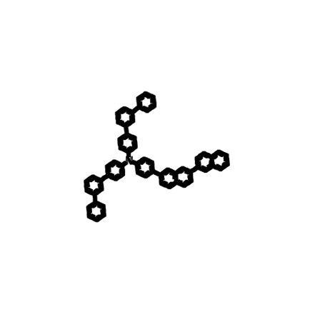 c1ccc(-c2cccc(-c3ccc(N(c4ccc(-c5cccc(-c6ccccc6)c5)cc4)c4ccc(-c5ccc6ccc(-c7ccc8ccccc8c7)cc6c5)cc4)cc3)c2)cc1